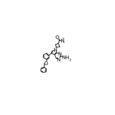 CN(C)C(=O)C1CC(n2cc(-c3cccc(OCc4ccccc4)c3)c3cnc(N)nc32)C1